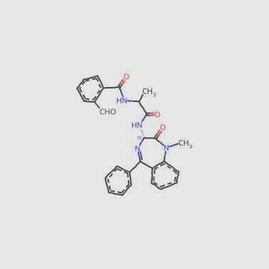 CC(NC(=O)c1ccccc1C=O)C(=O)N[C@H]1N=C(c2ccccc2)c2ccccc2N(C)C1=O